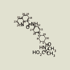 CC(C)(NC(=O)C1CCC(c2ccc(NC(=O)c3cccc4cccnc34)cc2)CC1)C(=O)O